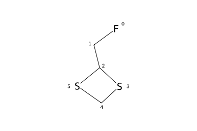 FCC1SCS1